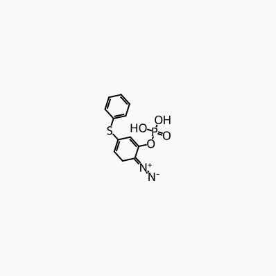 [N-]=[N+]=C1CC=C(Sc2ccccc2)C=C1OP(=O)(O)O